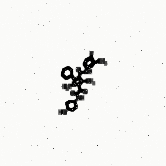 Cc1cc(NC(=O)c2c(C)c(C(=O)C(=O)N[C@H]3CC[C@@H](O)CC3)n(C)c2C2CCCCC2)ccc1F